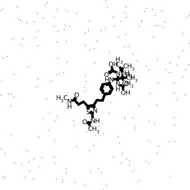 CNC(=O)CCc1sc(NC(C)=O)nc1CCc1ccc(NC(NC(=O)O)(N(C(=O)O)C(C)(C)C)C(C)(C)C)cc1